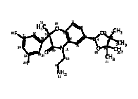 CC1(C)OB(c2ccc3c(c2)N(CCN)C(=O)[C@](C)(c2cc(F)cc(F)c2)O3)OC1(C)C